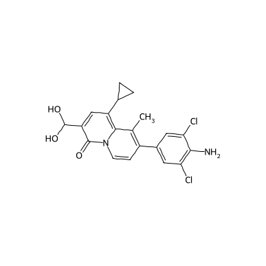 Cc1c(-c2cc(Cl)c(N)c(Cl)c2)ccn2c(=O)c(C(O)O)cc(C3CC3)c12